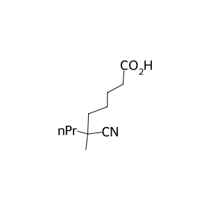 CCCC(C)(C#N)CCCCC(=O)O